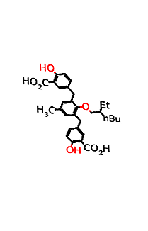 CCCCC(CC)COc1c(Cc2ccc(O)c(C(=O)O)c2)cc(C)cc1Cc1ccc(O)c(C(=O)O)c1